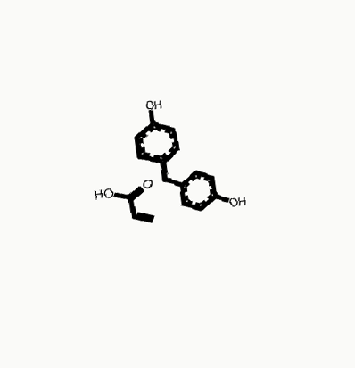 C=CC(=O)O.Oc1ccc(Cc2ccc(O)cc2)cc1